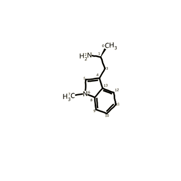 C[C@H](N)Cc1cn(C)c2ccccc12